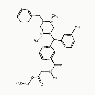 CCOC(=O)CN(C)C(=O)c1cccc(C(c2cccc(O)c2)N2C[C@@H](C)N(Cc3ccccc3)C[C@H]2C)c1